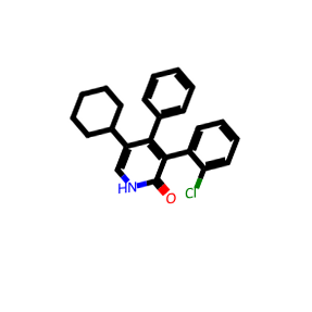 O=c1[nH]cc(C2CCCCC2)c(-c2ccccc2)c1-c1ccccc1Cl